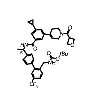 C[C@@H](NC(=O)c1cc(C2=CCN(C(=O)C3COC3)CC2)cc(C2CC2)c1)c1ccc(-c2cc(C(F)(F)F)ccc2CNC(=O)OC(C)(C)C)cc1